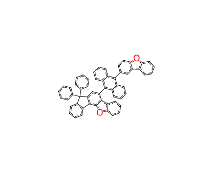 c1ccc(C2(c3ccccc3)c3ccccc3-c3c2cc(-c2c4ccccc4c(-c4ccc5oc6ccccc6c5c4)c4ccccc24)c2c3oc3ccccc32)cc1